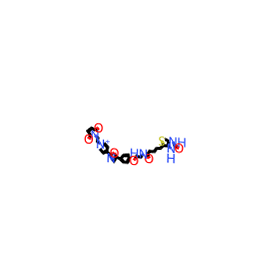 O=C(CCCCC1SCC2NC(=O)NC21)NCCOc1ccc(-c2cnc(-c3cc[n+](CCN4C(=O)C=CC4=O)cc3)o2)cc1